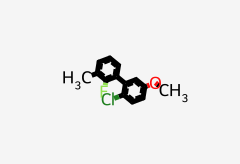 COc1ccc(Cl)c(-c2cccc(C)c2F)c1